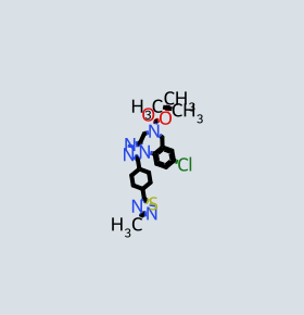 Cc1nsc(C2CCC(c3nnc4n3-c3ccc(Cl)cc3CN(C(=O)OC(C)(C)C)C4)CC2)n1